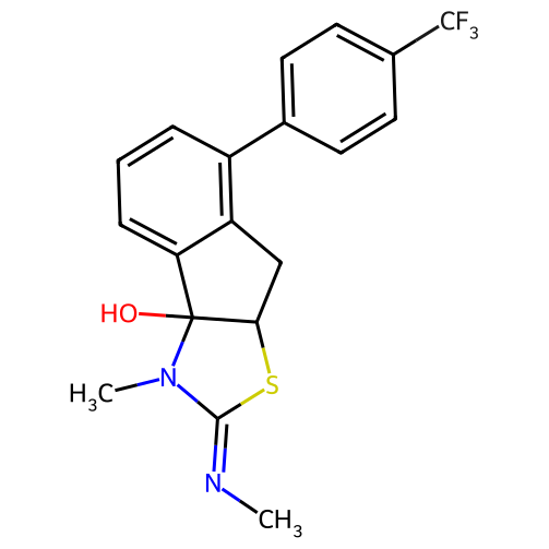 C/N=C1\SC2Cc3c(-c4ccc(C(F)(F)F)cc4)cccc3C2(O)N1C